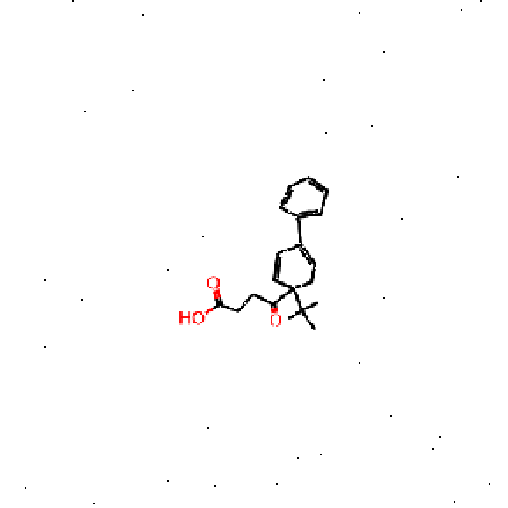 CC(C)(C)C1(C(=O)CCC(=O)O)C=CC(c2ccccc2)=CC1